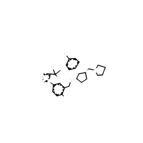 Fc1ccc([C@@H]2[C@@H](CN3CCCC3)CC[C@@H]2NCc2cc(-n3nnnc3C(F)(F)F)ccc2Cl)cc1